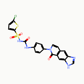 O=C(Nc1ccc(-n2ccc3cc4nc[nH]c4cc3c2=O)cc1)NS(=O)(=O)c1ccc(Cl)s1